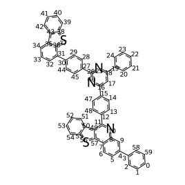 c1ccc(-c2ccc3c(c2)nc(-c2ccc(-c4cc(-c5ccccc5)nc(-c5ccc(-c6cccc7c6sc6ccccc67)cc5)n4)cc2)c2c4ccccc4sc32)cc1